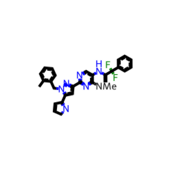 C=C(Nc1cnc(-c2cc(C3=NCC=C3)n(Cc3ccccc3C)n2)nc1NC)C(F)(F)c1ccccc1